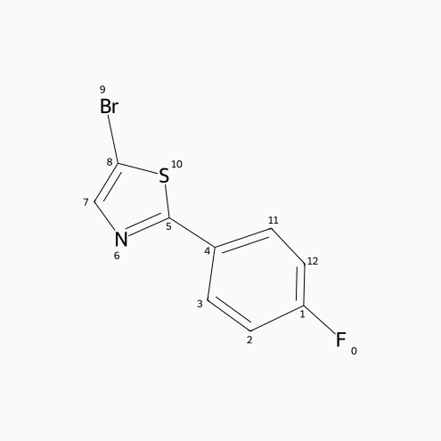 Fc1ccc(-c2ncc(Br)s2)cc1